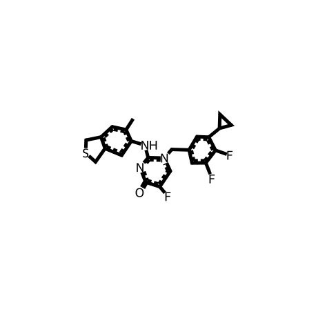 Cc1cc2c(cc1Nc1nc(=O)c(F)cn1Cc1cc(F)c(F)c(C3CC3)c1)CSC2